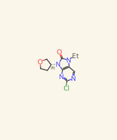 CCn1c(=O)n([C@@H]2CCOC2)c2nc(Cl)ncc21